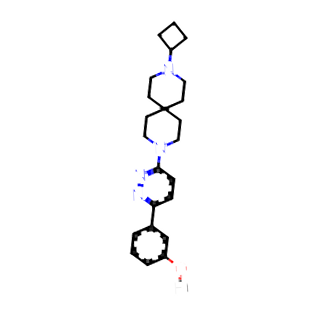 CCOc1cccc(-c2ccc(N3CCC4(CC3)CCN(C3CCC3)CC4)nn2)c1